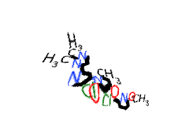 COc1cccc(COc2cc(C)n(-c3cc(-c4ccnc(C(C)C)n4)ncc3Cl)c(=O)c2Cl)n1